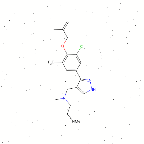 C=C(C)COc1c(Cl)cc(-c2n[nH]cc2CN(C)CCNC)cc1C(F)(F)F